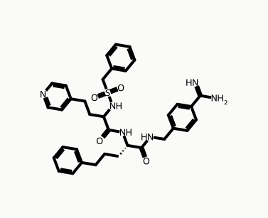 N=C(N)c1ccc(CNC(=O)[C@H](CCCc2ccccc2)NC(=O)C(CCc2ccncc2)NS(=O)(=O)Cc2ccccc2)cc1